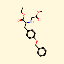 CCOC(=O)C(Cc1ccc(OCc2ccccc2)cc1)NCC(=O)OC